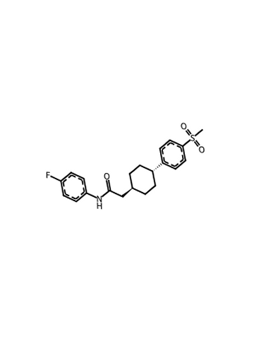 CS(=O)(=O)c1ccc([C@H]2CC[C@H](CC(=O)Nc3ccc(F)cc3)CC2)cc1